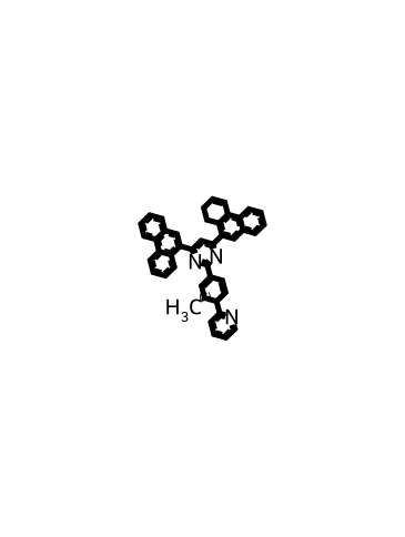 C[C@H]1C=C(c2nc(-c3cc4ccccc4c4c3CCC=C4)cc(-c3cc4ccccc4c4ccccc34)n2)C=CC1c1ccccn1